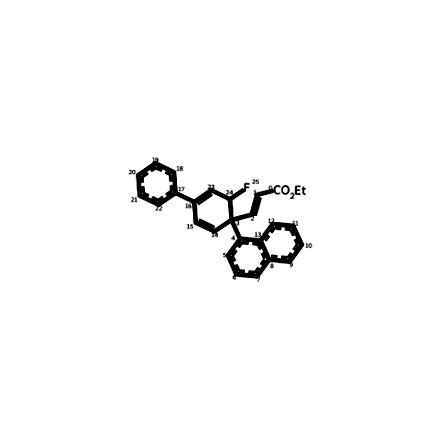 CCOC(=O)/C=C/C1(c2cccc3ccccc23)C=CC(c2ccccc2)=CC1F